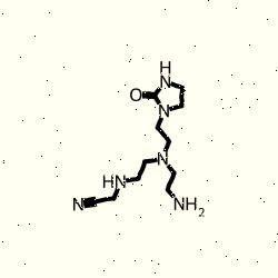 N#CCNCCN(CCN)CCN1CCNC1=O